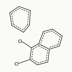 Clc1ccc2ccccc2c1Cl.c1ccccc1